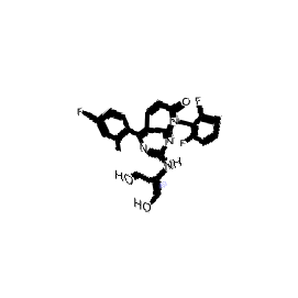 Cc1cc(F)ccc1-c1nc(N/C(=C/O)CO)nc2c1ccc(=O)n2-c1c(F)cccc1F